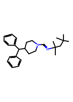 CC(C)(C)CC(C)(C)N=CN1CCC(C(c2ccccc2)c2ccccc2)CC1